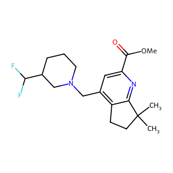 COC(=O)c1cc(CN2CCCC(C(F)F)C2)c2c(n1)C(C)(C)CC2